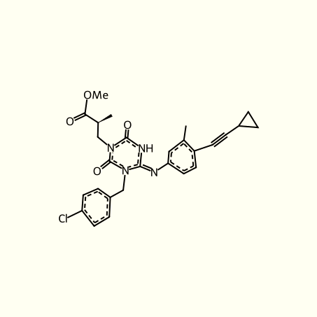 COC(=O)[C@@H](C)Cn1c(=O)[nH]/c(=N\c2ccc(C#CC3CC3)c(C)c2)n(Cc2ccc(Cl)cc2)c1=O